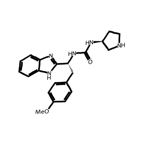 COc1ccc(C[C@@H](NC(=O)N[C@H]2CCNC2)c2nc3ccccc3[nH]2)cc1